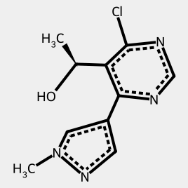 C[C@H](O)c1c(Cl)ncnc1-c1cnn(C)c1